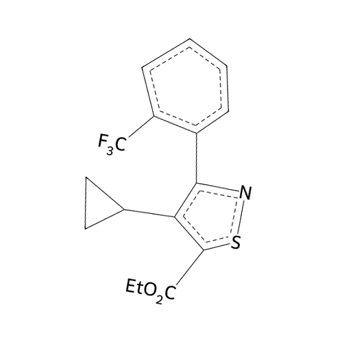 CCOC(=O)c1snc(-c2ccccc2C(F)(F)F)c1C1CC1